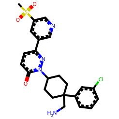 CS(=O)(=O)c1cncc(-c2ccc(=O)n(C3CCC(CN)(c4cccc(Cl)c4)CC3)n2)c1